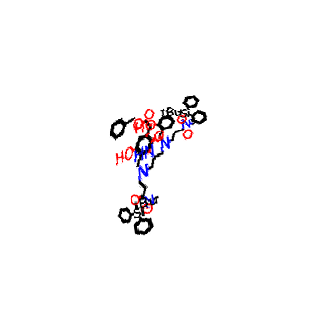 CN(O[Si](c1ccccc1)(c1ccccc1)C(C)(C)C)C(=O)CCN(Cc1ccccc1O)CC(CN(CCC(=O)N(C)O[Si](c1ccccc1)(c1ccccc1)C(C)(C)C)Cc1ccccc1O)NC(=O)CCC(=O)OCc1ccccc1